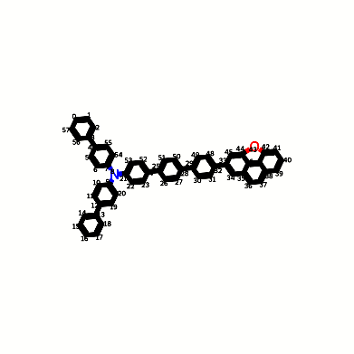 c1ccc(-c2ccc(N(c3ccc(-c4ccccc4)cc3)c3ccc(-c4ccc(-c5ccc(-c6cc7ccc8cccc9oc(c6)c7c89)cc5)cc4)cc3)cc2)cc1